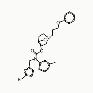 Cc1cccc(N(Cc2ccc(Br)s2)C(=O)OC2C[N+]3(CCCOc4ccccc4)CCC2CC3)c1